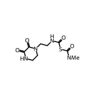 CNC(=O)SC(=O)NCCN1CCNC(=O)C1=O